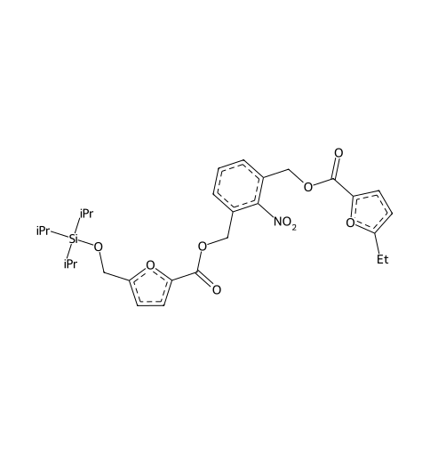 CCc1ccc(C(=O)OCc2cccc(COC(=O)c3ccc(CO[Si](C(C)C)(C(C)C)C(C)C)o3)c2[N+](=O)[O-])o1